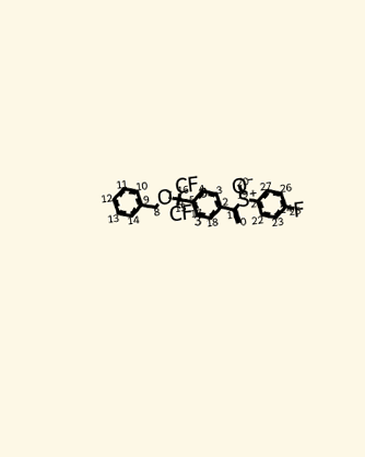 C=C(c1ccc(C(OCc2ccccc2)(C(F)(F)F)C(F)(F)F)cc1)[S+]([O-])c1ccc(F)cc1